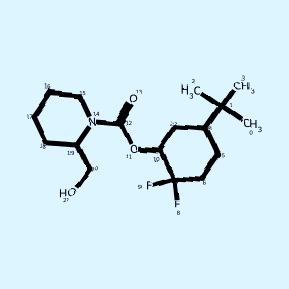 CC(C)(C)C1CCC(F)(F)C(OC(=O)N2CCCCC2CO)C1